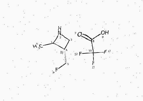 CC1NC[C@@H]1CF.O=C(O)C(F)(F)F